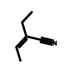 CC=C(C#N)CC